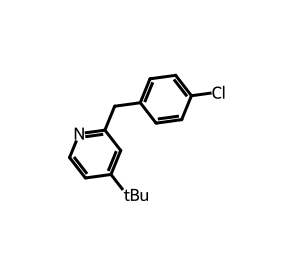 CC(C)(C)c1ccnc(Cc2ccc(Cl)cc2)c1